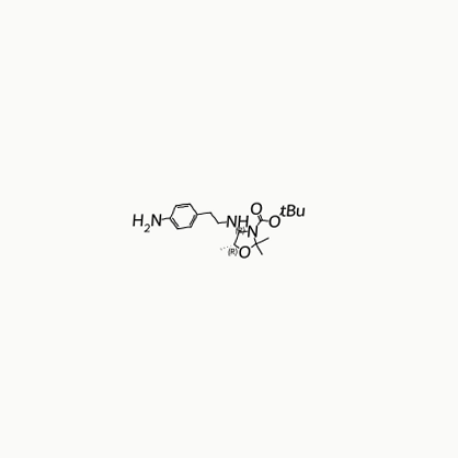 C[C@H]1OC(C)(C)N(C(=O)OC(C)(C)C)[C@H]1NCCc1ccc(N)cc1